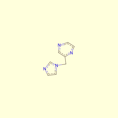 c1cnc(Cn2ccnc2)cn1